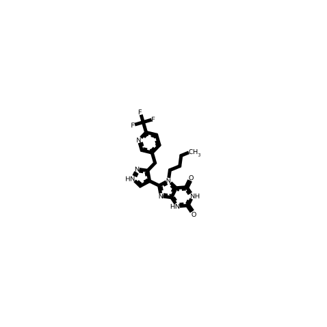 CCCCn1c(-c2c[nH]nc2Cc2ccc(C(F)(F)F)nc2)nc2[nH]c(=O)[nH]c(=O)c21